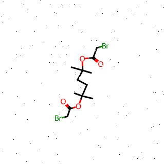 CC(C)(CCC(C)(C)OC(=O)CBr)OC(=O)CBr